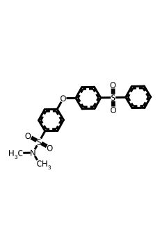 CN(C)S(=O)(=O)c1ccc(Oc2ccc(S(=O)(=O)c3ccccc3)cc2)cc1